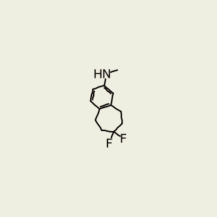 CNc1ccc2c(c1)CCC(F)(F)CC2